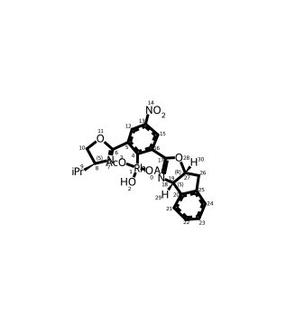 CC(=O)[O][Rh]([OH])([O]C(C)=O)[c]1c(C2=N[C@@H](C(C)C)CO2)cc([N+](=O)[O-])cc1C1=N[C@H]2c3ccccc3C[C@H]2O1